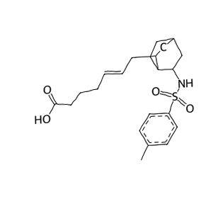 Cc1ccc(S(=O)(=O)NC2CC3CCC2C(CC=CCCCC(=O)O)C3)cc1